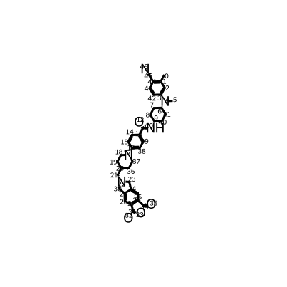 Cc1cc(N(C)[C@H]2CC[C@H](NC(=O)c3ccc(N4CCC(CN5Cc6cc7c(cc6C5)C(=O)OC7=O)CC4)cc3)CC2)ccc1C#N